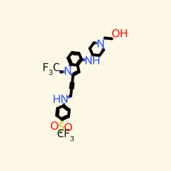 O=S(=O)(c1ccc(NCC#Cc2cc3c(NC4CCN(CCO)CC4)cccc3n2CC(F)(F)F)cc1)C(F)(F)F